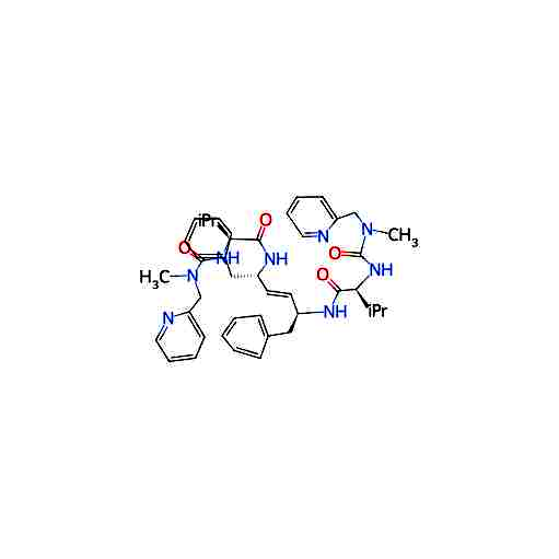 CC(C)[C@H](NC(=O)N(C)Cc1ccccn1)C(=O)N[C@H](C=C[C@H](Cc1ccccc1)NC(=O)[C@@H](NC(=O)N(C)Cc1ccccn1)C(C)C)Cc1ccccc1